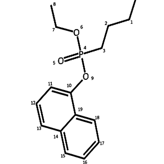 CCCCP(=O)(OCC)Oc1cccc2ccccc12